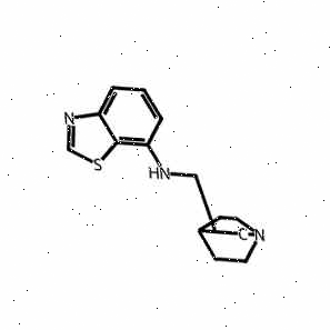 c1cc(NCC2CN3CCC2CC3)c2scnc2c1